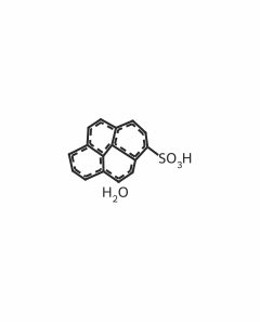 O.O=S(=O)(O)c1ccc2ccc3cccc4ccc1c2c34